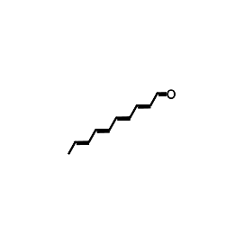 CC=CC=CC=CC=CC=O